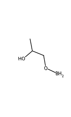 BOCC(C)O